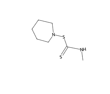 CNC(=S)SN1CCCCC1